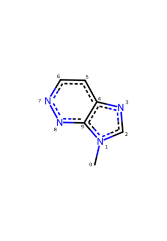 Cn1cnc2ccnnc21